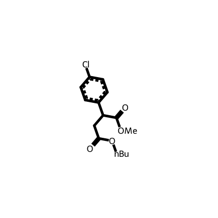 CCCCOC(=O)CC(C(=O)OC)c1ccc(Cl)cc1